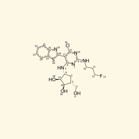 OC[C@H]1C[C@@H](Nc2nc(NCCCF)nc(Cl)c2-c2nc3ccccc3s2)[C@H](O)[C@@H]1O